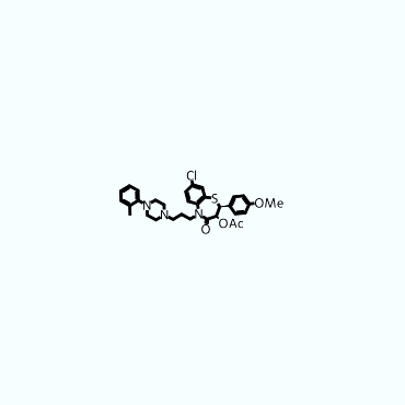 COc1ccc([C@@H]2Sc3cc(Cl)ccc3N(CCCN3CCN(c4ccccc4C)CC3)C(=O)[C@@H]2OC(C)=O)cc1